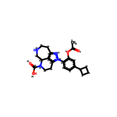 CC(=O)Oc1cc(C2CCC2)ccc1-n1nc2c3c1CCN(C(=O)O)C3CNCC2